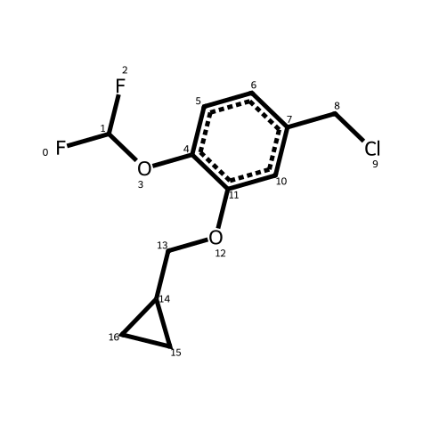 FC(F)Oc1ccc(CCl)cc1OCC1CC1